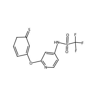 O=S(=O)(Nc1ccnc(OC2=CC(=S)CC=C2)c1)C(F)(F)F